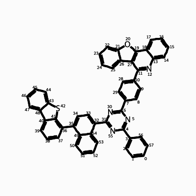 c1ccc(-c2nc(-c3ccc(-c4nc5ccccc5c5oc6ccccc6c45)cc3)nc(-c3ccc(-c4cccc5c4sc4ccccc45)c4ccccc34)n2)cc1